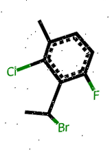 Cc1ccc(F)c(C(C)Br)c1Cl